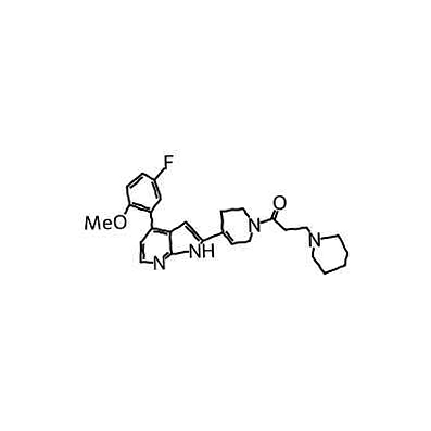 COc1ccc(F)cc1-c1ccnc2[nH]c(C3=CCN(C(=O)CCN4CCCCC4)CC3)cc12